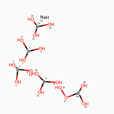 OB(O)O.OB(O)O.OB(O)O.OB(O)O.OOB(O)O.[NaH]